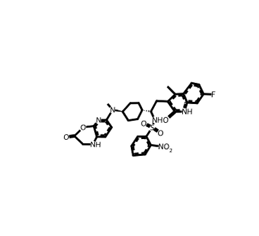 Cc1c(CC(NS(=O)(=O)c2ccccc2[N+](=O)[O-])[C@H]2CC[C@H](N(C)c3ccc4c(n3)OC(=O)CN4)CC2)c(=O)[nH]c2cc(F)ccc12